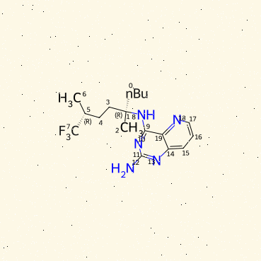 CCCC[C@](C)(CC[C@@H](C)C(F)(F)F)Nc1nc(N)nc2cccnc12